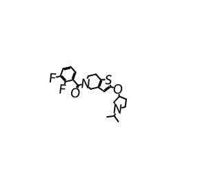 CC(C)N1CCC(Oc2cc3c(s2)CCN(C(=O)c2cccc(F)c2F)C3)C1